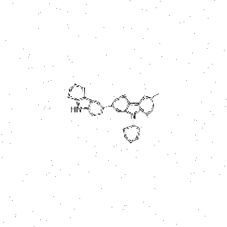 Cc1ccc2c(c1)c1ccc(-c3ccc4[nH]c5ccccc5c4c3)cc1n2-c1ccccc1